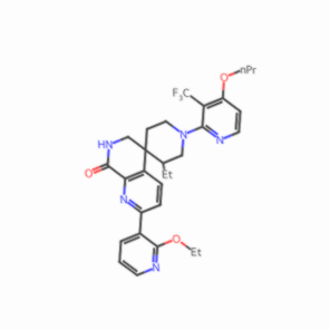 CCCOc1ccnc(N2CCC3(CNC(=O)c4nc(-c5cccnc5OCC)ccc43)C(CC)C2)c1C(F)(F)F